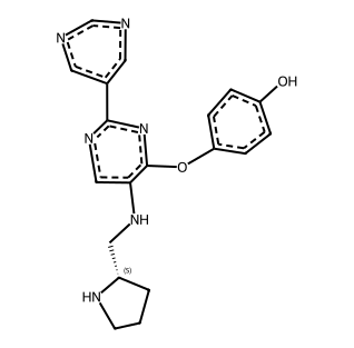 Oc1ccc(Oc2nc(-c3cncnc3)ncc2NC[C@@H]2CCCN2)cc1